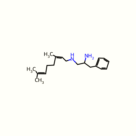 CC(C)=CCCC(C)=CCNCC(N)Cc1ccccc1